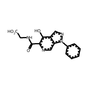 O=C(O)CNC(=O)c1ncc2c(cnn2-c2ccccc2)c1O